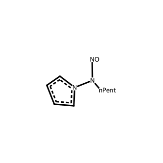 CCCCCN(N=O)n1cccc1